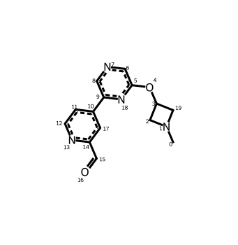 CN1CC(Oc2cncc(-c3ccnc(C=O)c3)n2)C1